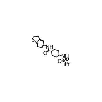 CC(C)S(=O)(=O)N[C@H]1CC[C@H](C(=O)Nc2ccc3sccc3c2)CC1